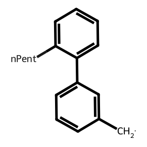 [CH2]c1cccc(-c2ccccc2CCCCC)c1